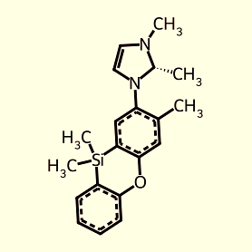 Cc1cc2c(cc1N1C=CN(C)[C@@H]1C)[Si](C)(C)c1ccccc1O2